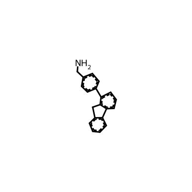 NCc1ccc(-c2cccc3c2Cc2ccccc2-3)cc1